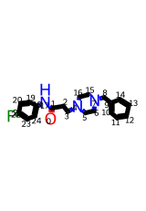 O=C(CCN1CCN(Cc2ccccc2)CC1)Nc1ccc(F)cc1